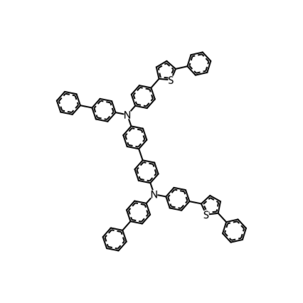 c1ccc(-c2ccc(N(c3ccc(-c4ccc(N(c5ccc(-c6ccccc6)cc5)c5ccc(-c6ccc(-c7ccccc7)s6)cc5)cc4)cc3)c3ccc(-c4ccc(-c5ccccc5)s4)cc3)cc2)cc1